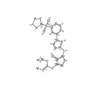 NC/C(=C\F)Cn1ncn(Cc2ccc(-c3cccc(S(=O)(=O)N4CCCC4)c3)s2)c1=O